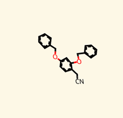 N#CCc1ccc(OCc2ccccc2)cc1OCc1ccccc1